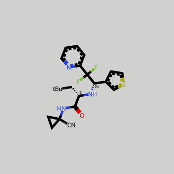 CC(C)(C)C[C@H](N[C@@H](c1ccsc1)C(F)(F)c1ccccn1)C(=O)NC1(C#N)CC1